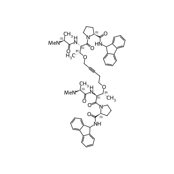 CN[C@@H](C)C(=O)N[C@H](C(=O)N1CCC[C@H]1C(=O)NC1c2ccccc2-c2ccccc21)[C@@H](C)OCC#CCCO[C@H](C)[C@H](NC(=O)[C@H](C)NC)C(=O)N1CCC[C@H]1C(=O)NC1c2ccccc2-c2ccccc21